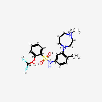 Cc1ccc(NS(=O)(=O)c2ccccc2OC(F)F)cc1N1CCCN(C)CC1